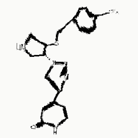 O=c1cc(-c2cn([C@@H]3CNC[C@H]3OCc3ccc(C(F)(F)F)cc3)nn2)cc[nH]1